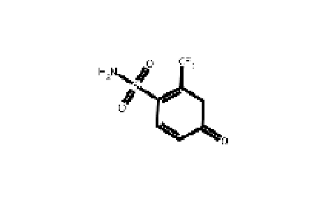 NS(=O)(=O)C1=C(C(F)(F)F)CC(=O)C=C1